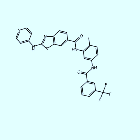 Cc1ccc(NC(=O)c2cccc(C(F)(F)F)c2)cc1NC(=O)c1ccc2nc(Nc3ccncc3)sc2c1